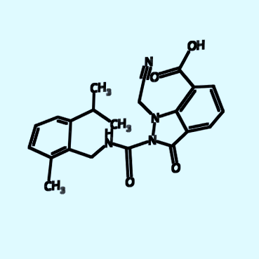 Cc1cccc(C(C)C)c1CNC(=O)n1c(=O)c2cccc(C(=O)O)c2n1CC#N